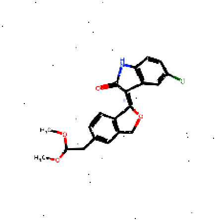 COC(Cc1ccc2c(c1)CO/C2=C1/C(=O)Nc2ccc(Cl)cc21)OC